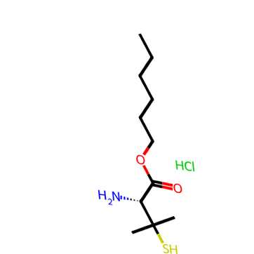 CCCCCCOC(=O)[C@@H](N)C(C)(C)S.Cl